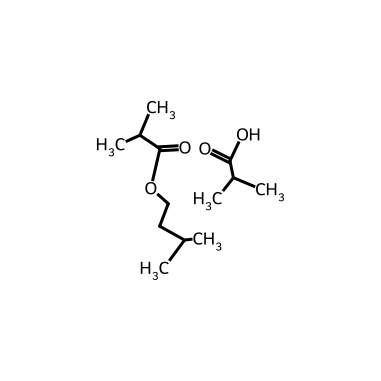 CC(C)C(=O)O.CC(C)CCOC(=O)C(C)C